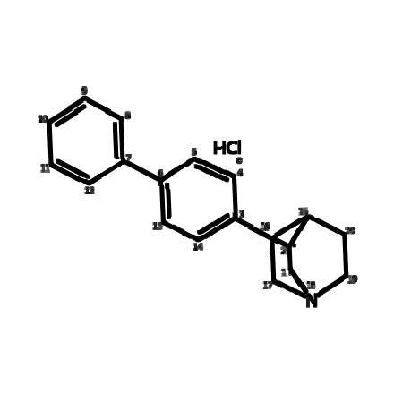 Cl.[CH]1[C](c2ccc(-c3ccccc3)cc2)C2CCN1CC2